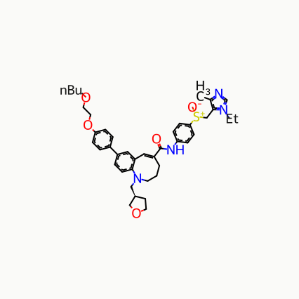 CCCCOCCOc1ccc(-c2ccc3c(c2)/C=C(/C(=O)Nc2ccc([S+]([O-])Cc4c(C)ncn4CC)cc2)CCCN3C[C@H]2CCOC2)cc1